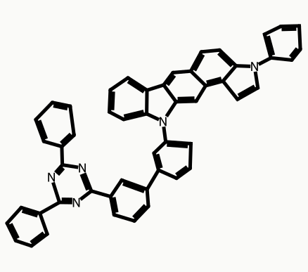 c1ccc(-c2nc(-c3ccccc3)nc(-c3cccc(-c4cccc(-n5c6ccccc6c6cc7ccc8c(ccn8-c8ccccc8)c7cc65)c4)c3)n2)cc1